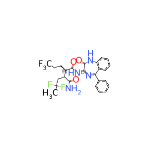 CC(F)(F)CC(C(N)=O)[C@@H](CCC(F)(F)F)C(=O)N[C@H]1N=C(c2ccccc2)c2ccccc2NC1=O